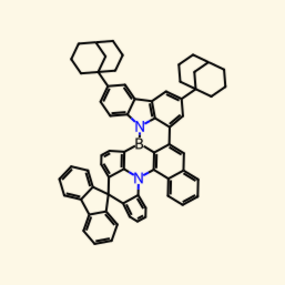 c1ccc2c(c1)-c1ccccc1C21c2ccccc2N2c3c(cccc31)B1c3c(cc4ccccc4c32)-c2cc(C34CCCC(CCC3)C4)cc3c4cc(C56CCCC(CCC5)C6)ccc4n1c23